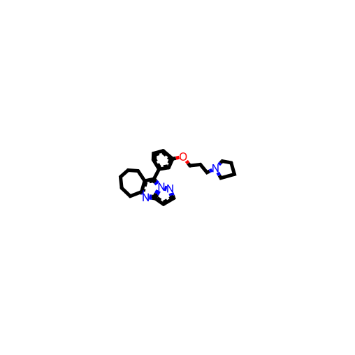 c1cc(OCCCN2CCCC2)cc(-c2c3c(nc4ccnn24)CCCCC3)c1